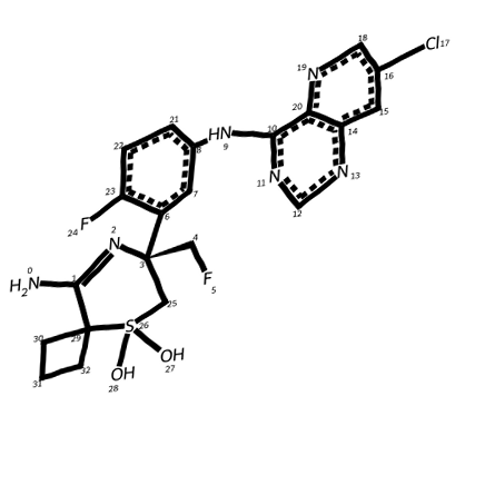 NC1=N[C@](CF)(c2cc(Nc3ncnc4cc(Cl)cnc34)ccc2F)CS(O)(O)C12CCC2